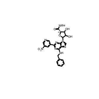 CNC(=O)[C@@H]1OC(n2cnc3c(NCc4ccccc4)nc(-c4cncc([N+](=O)[O-])c4)nc32)C(O)C1O